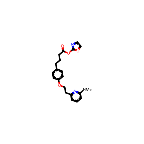 CNc1cccc(CCOc2ccc(CCCC(=O)Oc3ncco3)cc2)n1